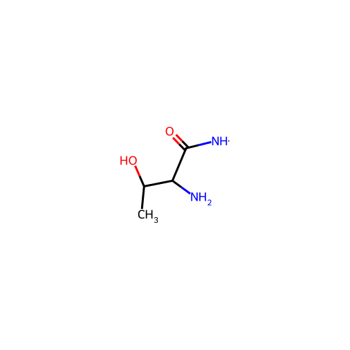 CC(O)C(N)C([NH])=O